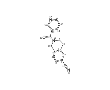 N#Cc1ccc2c(c1)CCN(C(=O)c1cccnc1)C2